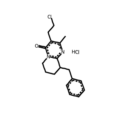 Cc1nc2n(c(=O)c1CCCl)CCCC2Cc1ccccc1.Cl